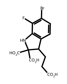 O=C(O)CCC1c2ccc(Br)c(F)c2NC1(C(=O)O)C(=O)O